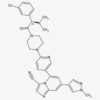 CN(C)[C@@H](C(=O)N1CCN(c2ccc(-c3cc(-c4cnn(C)c4)cc4ncc(C#N)n34)cn2)CC1)c1cccc(Cl)c1